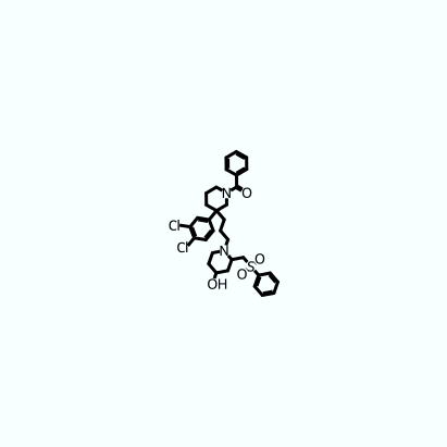 O=C(c1ccccc1)N1CCCC(CCCN2CCC(O)CC2CS(=O)(=O)c2ccccc2)(c2ccc(Cl)c(Cl)c2)C1